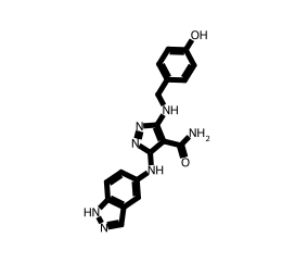 NC(=O)C1=C(NCc2ccc(O)cc2)N=NC1Nc1ccc2[nH]ncc2c1